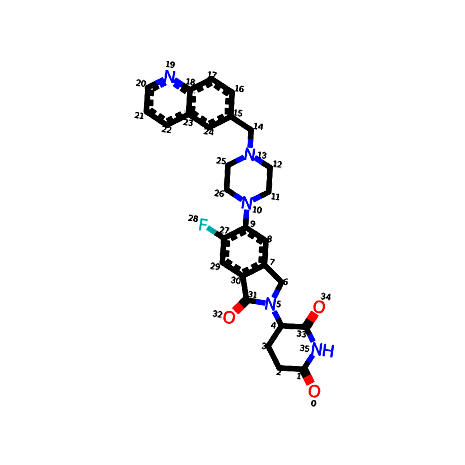 O=C1CCC(N2Cc3cc(N4CCN(Cc5ccc6ncccc6c5)CC4)c(F)cc3C2=O)C(=O)N1